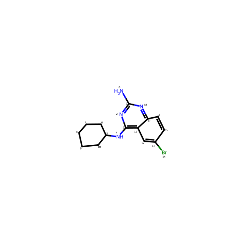 Nc1nc(NC2CCCCC2)c2cc(Br)ccc2n1